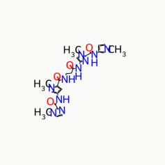 Cn1ccc(NC(=O)c2nc(NC(=O)CCNC(=O)c3cc(NC(=O)c4nccn4C)cn3C)cn2C)c1